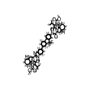 COC(=O)N[C@H](C(=O)N1[C@H](C(=O)Nc2ccc3c(c2)C(F)(F)c2cc(-c4ccc5[nH]c([C@@H]6C[C@@H]7CCCC[C@@H]7N6C(=O)[C@@H](NC(=O)OC)C(C)C)nc5c4)ccc2-3)C[C@@H]2CCCC[C@@H]21)C(C)C